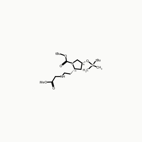 COC(=O)CNCC[C@H]1C[C@@H](O[Si](C)(C)C(C)(C)C)CN1C(=O)OC(C)(C)C